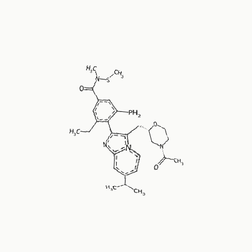 CCc1cc(C(=O)N(C)SC)cc(P)c1-c1nc2cc(C(C)C)ccn2c1C[C@H]1CN(C(C)=O)CCO1